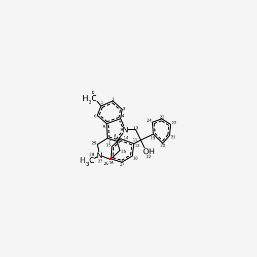 Cc1ccc2c(c1)c1c(n2CC(O)(c2ccccc2)c2ccccc2)CCN(C)C1